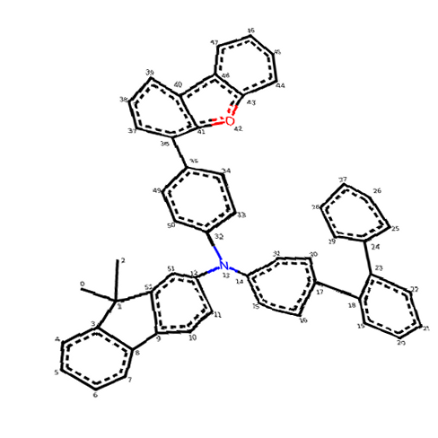 CC1(C)c2ccccc2-c2ccc(N(c3ccc(-c4ccccc4-c4ccccc4)cc3)c3ccc(-c4cccc5c4oc4ccccc45)cc3)cc21